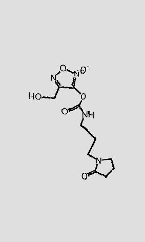 O=C(NCCCN1CCCC1=O)Oc1c(CO)no[n+]1[O-]